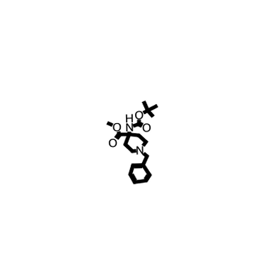 COC(=O)C1(NC(=O)OC(C)(C)C)CCN(Cc2ccccc2)CC1